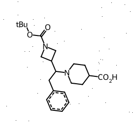 CC(C)(C)OC(=O)N1CC(C(Cc2ccccc2)N2CCC(C(=O)O)CC2)C1